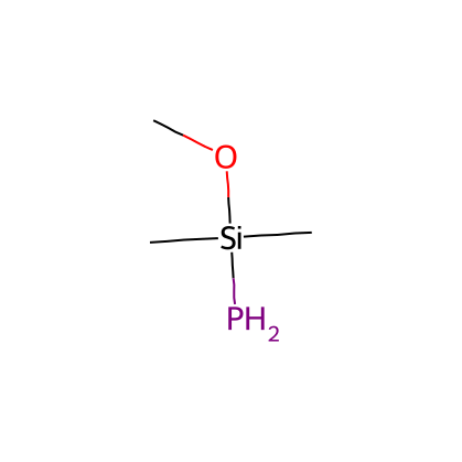 CO[Si](C)(C)P